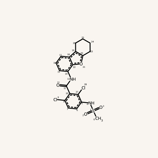 CS(=O)(=O)Nc1ccc(Cl)c(C(=O)Nc2cccc3c4c(oc23)CCCC4)c1Cl